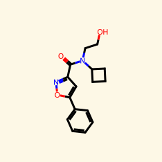 O=C(c1cc(-c2ccccc2)on1)N(CCO)C1CCC1